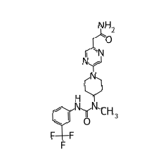 CN(C(=O)Nc1cccc(C(F)(F)F)c1)C1CCN(c2cnc(CC(N)=O)cn2)CC1